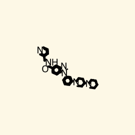 O=C(NCc1cccnc1)c1ccc2c(c1)ncn2-c1cccc(N2CCC(N3CCCCC3)CC2)c1